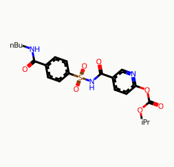 CCCCNC(=O)c1ccc(S(=O)(=O)NC(=O)c2ccc(OC(=O)OC(C)C)nc2)cc1